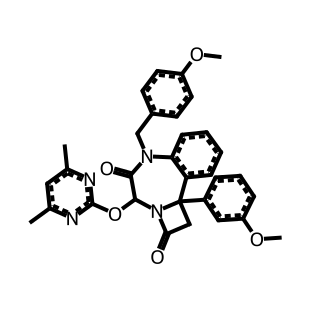 COc1ccc(CN2C(=O)C(Oc3nc(C)cc(C)n3)N3C(=O)CC3(c3cccc(OC)c3)c3ccccc32)cc1